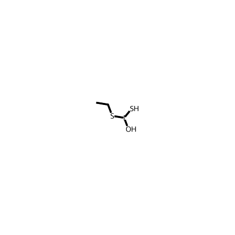 CCSI(O)S